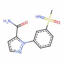 CS(=N)(=O)c1cccc(-n2nccc2C(N)=O)c1